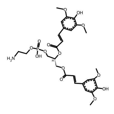 COc1cc(C=CC(=O)OC[C@H](COP(=O)(O)OCCN)OC(=O)C=Cc2cc(OC)c(O)c(OC)c2)cc(OC)c1O